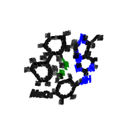 COc1ccc(Nc2ncc3c(C)nc(-c4cccc(-c5ccccc5F)c4F)n3n2)cc1